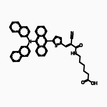 N#C/C(=C\c1ccc(-c2c3ccccc3c(N(c3ccc4ccccc4c3)c3ccc4ccccc4c3)c3ccccc23)s1)C(=O)NCCCCCC(=O)O